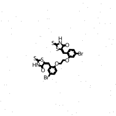 O=C1NC(=S)SC1=Cc1cc(Br)ccc1OCCOc1cc(Br)ccc1C=C1SC(=S)NC1=O